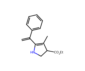 C=C(C1=C(C)C(C(=O)OCC)CN1)c1ccccc1